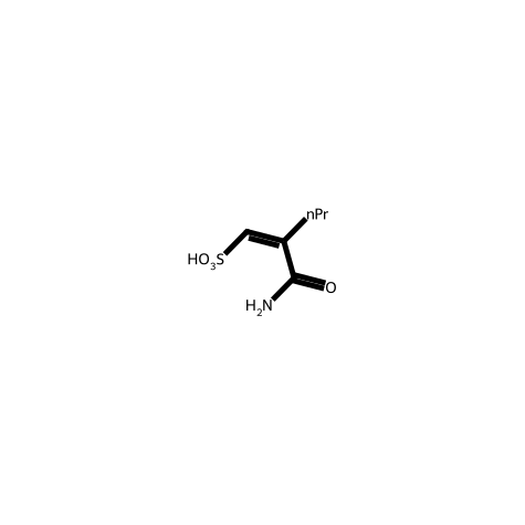 CCCC(=CS(=O)(=O)O)C(N)=O